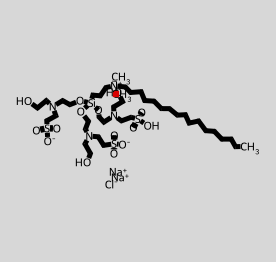 CCCCCCCCCCCCCCCCC[N+](C)(C)CCC[Si](OCCN(CCO)CCS(=O)(=O)[O-])(OCCN(CCO)CCS(=O)(=O)[O-])OCCN(CCO)CCS(=O)(=O)O.[Cl-].[Na+].[Na+]